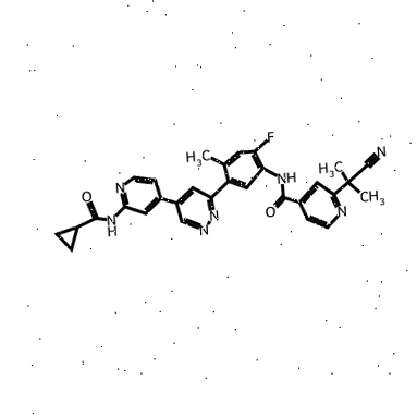 Cc1cc(F)c(NC(=O)c2ccnc(C(C)(C)C#N)c2)cc1-c1cc(-c2ccnc(NC(=O)C3CC3)c2)cnn1